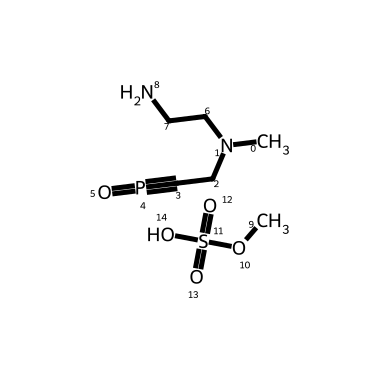 CN(CC#P=O)CCN.COS(=O)(=O)O